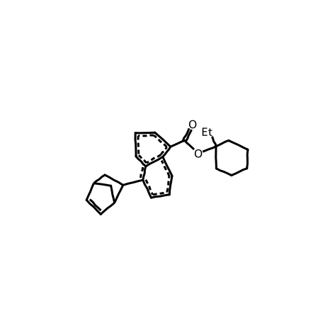 CCC1(OC(=O)c2cccc3c(C4CC5C=CC4C5)cccc23)CCCCC1